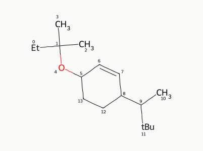 CCC(C)(C)OC1C=CC(C(C)C(C)(C)C)CC1